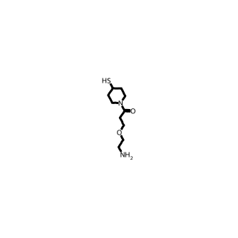 NCCOCCC(=O)N1CCC(S)CC1